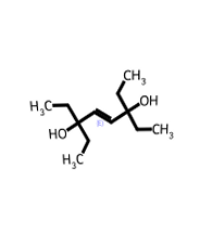 CCC(O)(/C=C/C(O)(CC)CC)CC